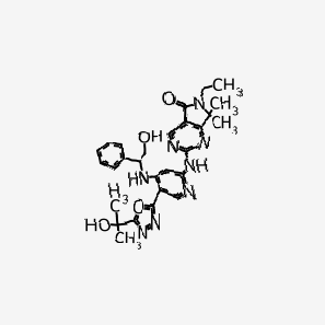 CCN1C(=O)c2cnc(Nc3cc(N[C@H](CO)c4ccccc4)c(-c4nnc(C(C)(C)O)o4)cn3)nc2C1(C)C